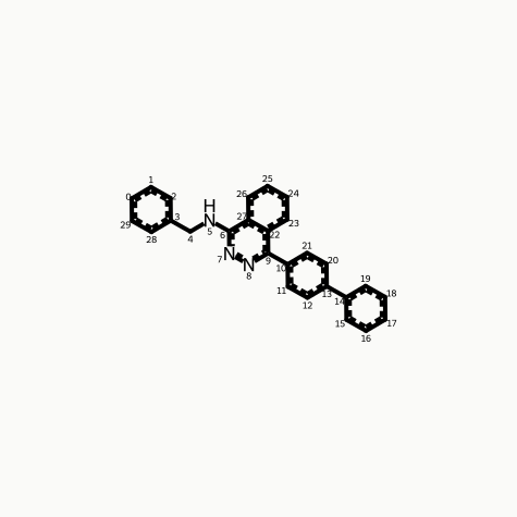 c1ccc(CNc2nnc(-c3ccc(-c4ccccc4)cc3)c3ccccc23)cc1